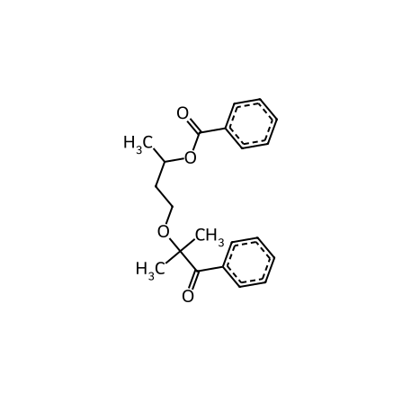 CC(CCOC(C)(C)C(=O)c1ccccc1)OC(=O)c1ccccc1